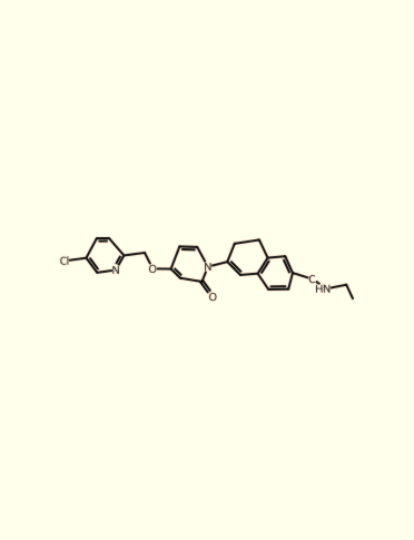 CCNCc1ccc2c(c1)CCC(n1ccc(OCc3ccc(Cl)cn3)cc1=O)=C2